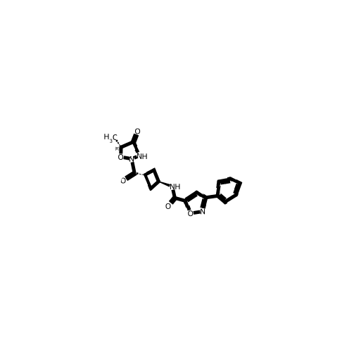 C[C@H]1ON(C(=O)[C@H]2C[C@H](NC(=O)c3cc(-c4ccccc4)no3)C2)NC1=O